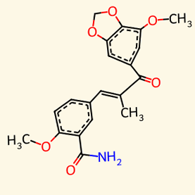 COc1ccc(C=C(C)C(=O)c2cc(OC)c3c(c2)OCO3)cc1C(N)=O